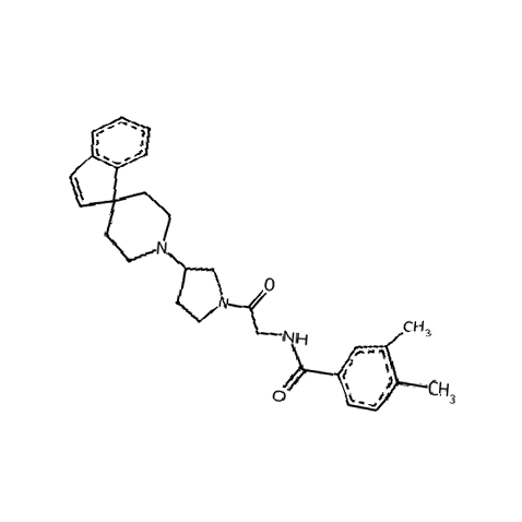 Cc1ccc(C(=O)NCC(=O)N2CCC(N3CCC4(C=Cc5ccccc54)CC3)C2)cc1C